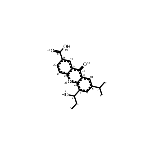 CCC(O)c1cc(C(C)C)cc2c(=O)c3cc(C(=O)O)ccc3oc12